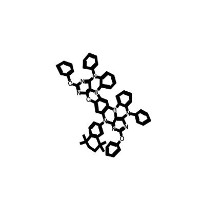 CC1(C)CCC(C)(C)c2cc(N3c4cc5c(cc4B4c6ccccc6N(c6ccccc6)c6nc(Oc7ccccc7)nc3c64)B3c4ccccc4N(c4ccccc4)c4nc(Oc6ccccc6)nc(c43)O5)ccc21